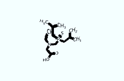 CCN(CC(=O)O)CP(=S)(CC(C)C)CC(C)C